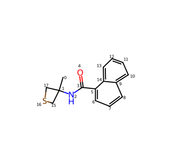 CC1(NC(=O)c2cccc3ccccc23)CSC1